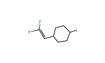 FC(F)=CC1CCC(I)CC1